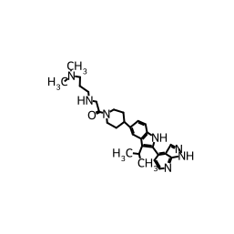 CC(C)c1c(-c2ccnc3[nH]ncc23)[nH]c2ccc(C3CCN(C(=O)CNCCCN(C)C)CC3)cc12